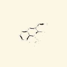 C=Cc1cc2ccccc2nc1O.NC=O